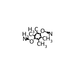 Cc1c(C)c(OC#N)c(C)c(C)c1OC#N